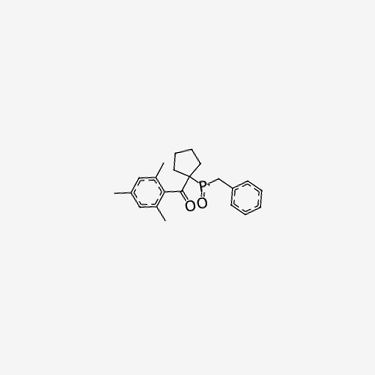 Cc1cc(C)c(C(=O)C2([P](=O)Cc3ccccc3)CCCC2)c(C)c1